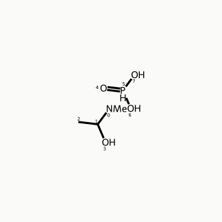 CNC(C)O.O=[PH](O)O